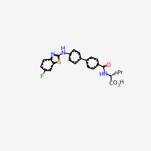 CCC[C@H](NC(=O)c1ccc(-c2ccc(Nc3nc4ccc(F)cc4s3)cc2)cc1)C(=O)O